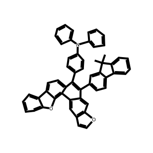 CC1(C)c2ccccc2-c2ccc(-c3c(-c4ccc(N(c5ccccc5)c5ccccc5)cc4)c4ccc5c6ccccc6oc5c4c4cc5ccoc5cc34)cc21